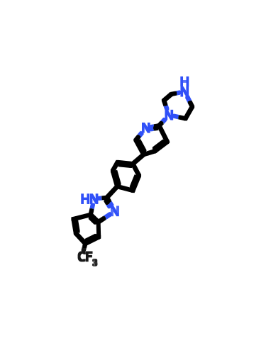 FC(F)(F)c1ccc2[nH]c(-c3ccc(-c4ccc(N5CCNCC5)nc4)cc3)nc2c1